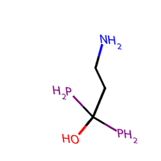 NCCC(O)(P)P